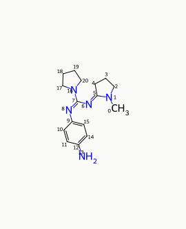 CN1CCCC1=NC(=Nc1ccc(N)cc1)N1CCCC1